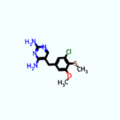 COc1cc(Cc2cnc(N)nc2N)cc(Cl)c1SC